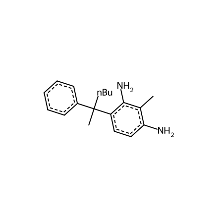 CCCCC(C)(c1ccccc1)c1ccc(N)c(C)c1N